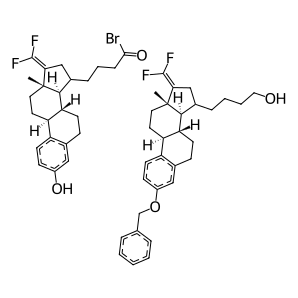 C[C@]12CC[C@@H]3c4ccc(O)cc4CC[C@H]3[C@@H]1C(CCCC(=O)Br)CC2=C(F)F.C[C@]12CC[C@@H]3c4ccc(OCc5ccccc5)cc4CC[C@H]3[C@@H]1C(CCCCO)CC2=C(F)F